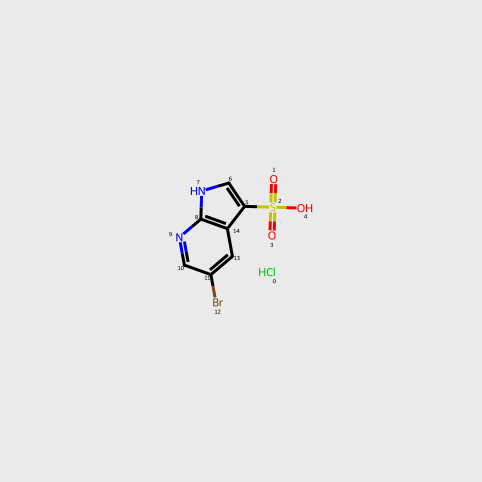 Cl.O=S(=O)(O)c1c[nH]c2ncc(Br)cc12